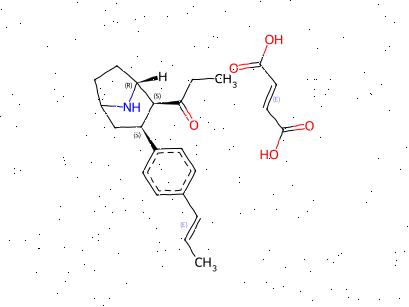 C/C=C/c1ccc([C@H]2CC3CC[C@@H](N3)[C@H]2C(=O)CC)cc1.O=C(O)/C=C/C(=O)O